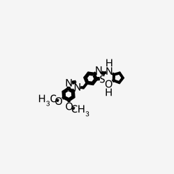 COc1cc2ncn(Cc3ccc4nc(NC5CCCC5O)sc4c3)c2cc1OC